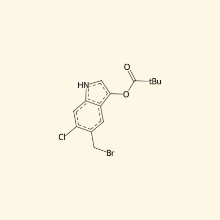 CC(C)(C)C(=O)Oc1c[nH]c2cc(Cl)c(CBr)cc12